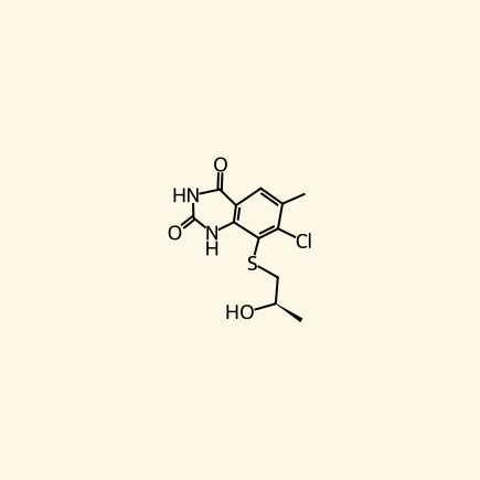 Cc1cc2c(=O)[nH]c(=O)[nH]c2c(SC[C@@H](C)O)c1Cl